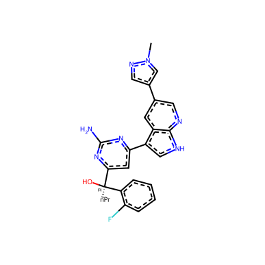 CCC[C@](O)(c1cc(-c2c[nH]c3ncc(-c4cnn(C)c4)cc23)nc(N)n1)c1ccccc1F